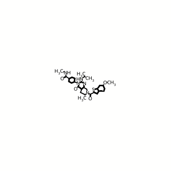 CNC(=O)c1ccc(-n2c(NC(C)C)nc3c(c2=O)C[C@@H](C)N(C(=O)c2cc4ccc(OC)cc4s2)C3)cc1